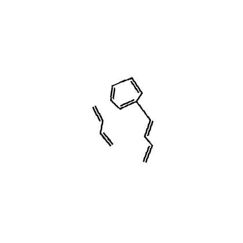 C=CC=C.C=CC=Cc1ccccc1